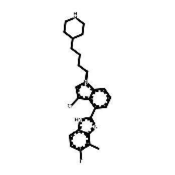 Cc1c(F)ccc2[nH]c(-c3cccc4c3c(Cl)cn4CCCCC3CCNCC3)nc12